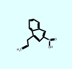 C=CCc1cc(S(=O)O)cc2ccccc12